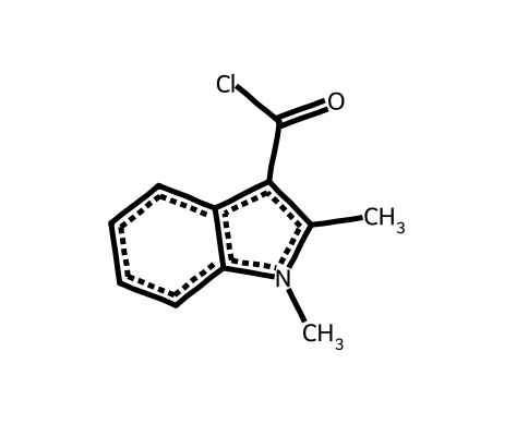 Cc1c(C(=O)Cl)c2ccccc2n1C